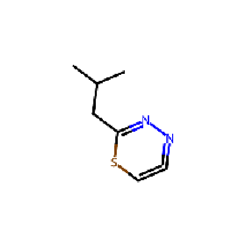 CC(C)CC1=NN=C=CS1